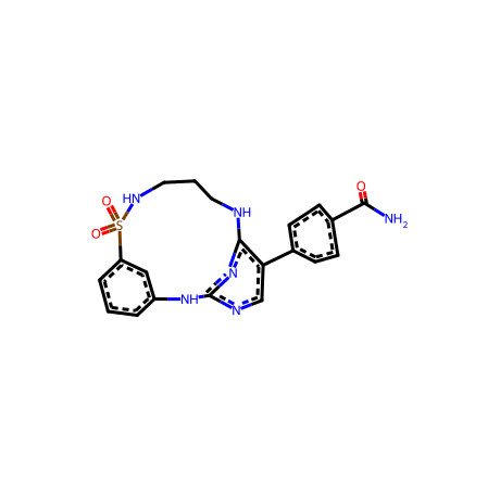 NC(=O)c1ccc(-c2cnc3nc2NCCCNS(=O)(=O)c2cccc(c2)N3)cc1